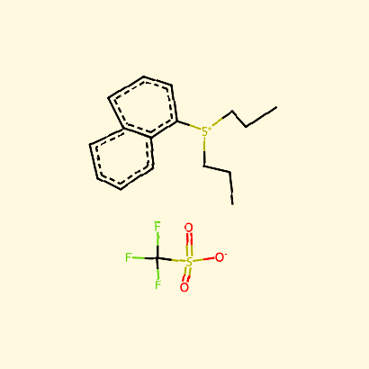 CCC[S+](CCC)c1cccc2ccccc12.O=S(=O)([O-])C(F)(F)F